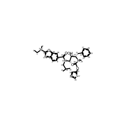 CCN(C)c1nc2ccc(C(=O)N(CC(C)C)C[C@@H](O)[C@H](Cc3ccccc3)N(C)C(=O)Oc3cncs3)cc2o1